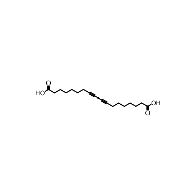 O=C(O)CCCCCCC#CC#CCCCCCCC(=O)O